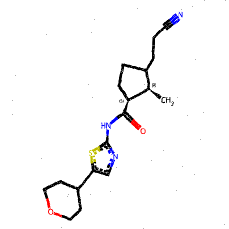 C[C@@H]1C(CCC#N)CC[C@@H]1C(=O)Nc1ncc(C2CCOCC2)s1